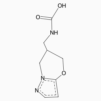 O=C(O)NCC1COc2ccnn2C1